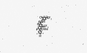 COc1c(N2C[C@@H](C)N[C@@H](C)C2)c(F)cc2c(=O)c(C(=O)NCc3ccc(OC(F)(F)F)cc3Cl)cn(CC(F)(F)F)c12